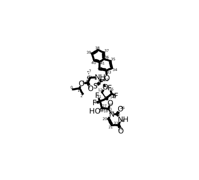 CC(C)OC(=O)[C@H](C)NP(=S)(OC[C@@]1(C(F)F)O[C@@H](n2ccc(=O)[nH]c2=O)[C@H](O)C1(F)F)Oc1ccc2ccccc2c1